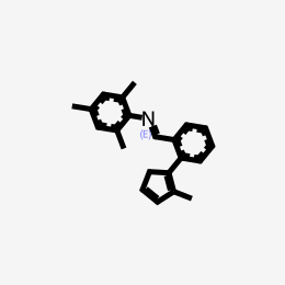 CC1=C(c2ccccc2/C=N/c2c(C)cc(C)cc2C)CC=C1